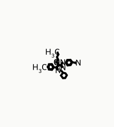 CCCCOc1c(Nc2ccc(C#N)cc2)nc(C2CCCCC2)nc1-c1ccc(C)cc1